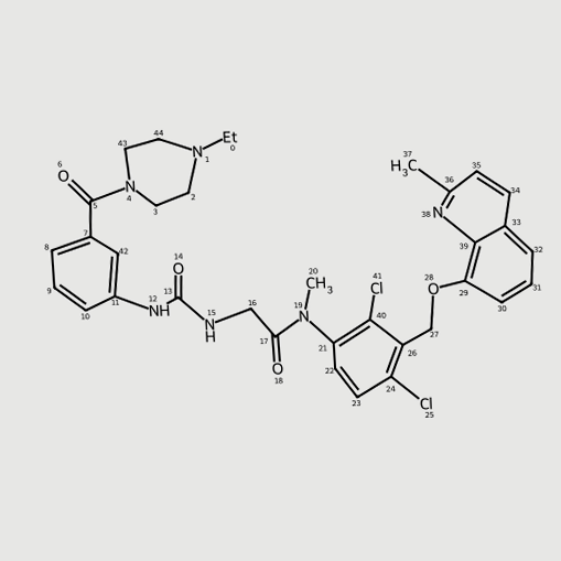 CCN1CCN(C(=O)c2cccc(NC(=O)NCC(=O)N(C)c3ccc(Cl)c(COc4cccc5ccc(C)nc45)c3Cl)c2)CC1